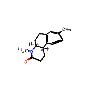 COc1ccc2c(c1)CC[C@H]1[C@H]2CCC(=O)N1C